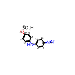 [N-]=[N+]=C1C=CC(Nc2ccc(OS(=O)(=O)O)cc2)=CC1